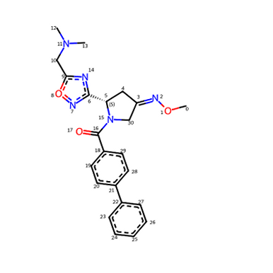 CON=C1C[C@@H](c2noc(CN(C)C)n2)N(C(=O)c2ccc(-c3ccccc3)cc2)C1